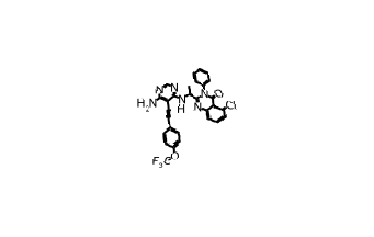 CC(Nc1ncnc(N)c1C#Cc1ccc(OC(F)(F)F)cc1)c1nc2cccc(Cl)c2c(=O)n1-c1ccccc1